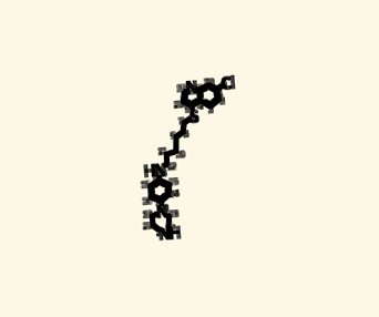 Clc1ccc2c(SCCCCCCNc3ccc(N4CCNCC4)cc3)ccnc2c1